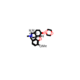 C1COCCO1.COc1ccc2c3c1O[C@H]1C(=O)CC[C@H]4[C@@H](C2)N(C)CC[C@]314